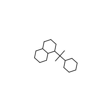 CC(C)(C1CCCCC1)C1CCCC2CCCCC21